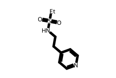 CCS(=O)(=O)NCCc1ccncc1